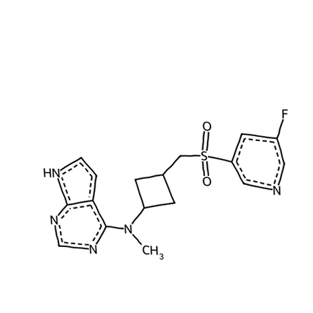 CN(c1ncnc2[nH]ccc12)C1CC(CS(=O)(=O)c2cncc(F)c2)C1